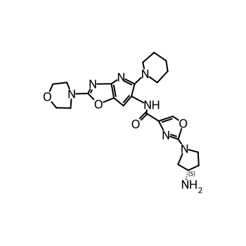 N[C@H]1CCN(c2nc(C(=O)Nc3cc4oc(N5CCOCC5)nc4nc3N3CCCCC3)co2)C1